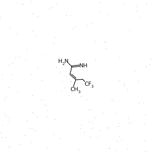 C/C(=C/C(=N)N)CC(F)(F)F